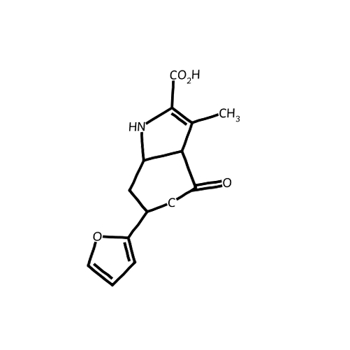 CC1=C(C(=O)O)NC2CC(c3ccco3)CC(=O)C12